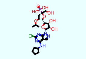 CC(C)OCC[C@@](CO)(OC[C@H]1O[C@@H](n2ncc3c(NC4CCCC4)nc(Cl)nc32)[C@H](O)[C@@H]1O)P(=O)(O)O